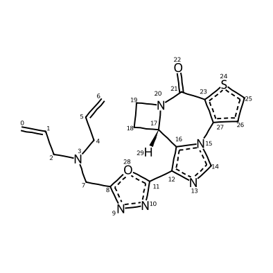 C=CCN(CC=C)Cc1nnc(-c2ncn3c2[C@@H]2CCN2C(=O)c2sccc2-3)o1